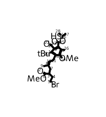 COC(=O)C(CCBr)CC(C)=CCc1c(OC)c(C)c2c(c1C(C)(C)C)C(=O)OC2O[SiH](C)C